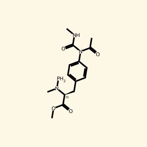 CNC(=O)N(C(C)=O)c1ccc(C[C@@H](C(=O)OC)N(C)P)cc1